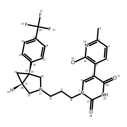 Cc1ccc(-c2cn(CCCN3C[C@@H]4C[C@]4(c4ccc(C(F)(F)F)cc4)C3)c(=O)[nH]c2=O)c(Cl)n1